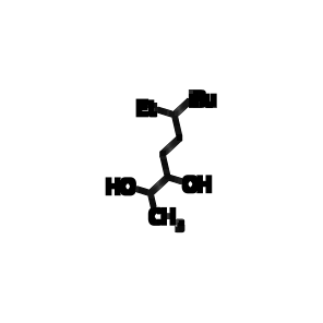 CCC(C)C(CC)CCC(O)C(C)O